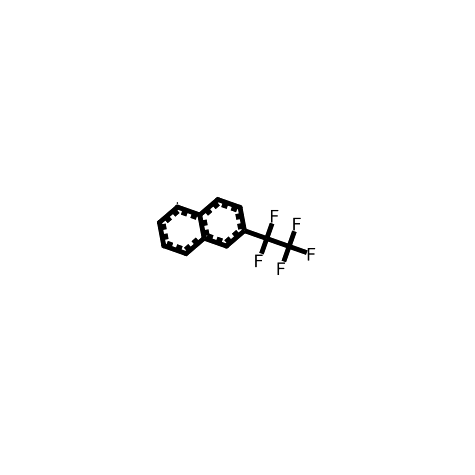 FC(F)(F)C(F)(F)c1ccc2[c]cccc2c1